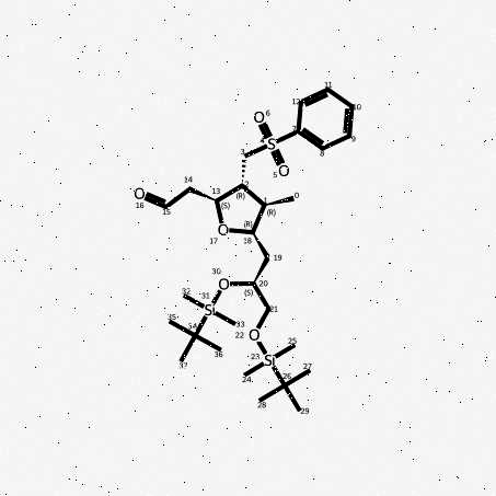 C[C@@H]1[C@@H](CS(=O)(=O)c2ccccc2)[C@H](CC=O)O[C@@H]1C[C@@H](CO[Si](C)(C)C(C)(C)C)O[Si](C)(C)C(C)(C)C